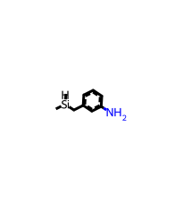 C[SiH](C)Cc1cccc(N)c1